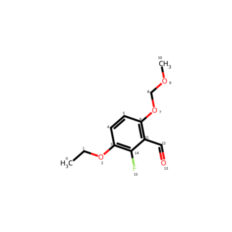 CCOc1ccc(OCOC)c(C=O)c1F